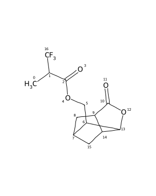 CC(C(=O)OCC1C2CC3C(=O)OC1C3C2)C(F)(F)F